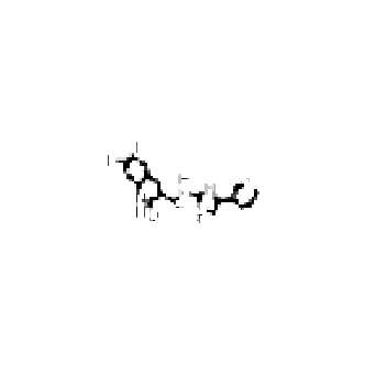 CC(Nc1nc(-c2cccnc2)cs1)c1cc2cc(Cl)c(F)cc2[nH]c1=O